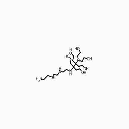 NCCNCCNCCNC(CCO)(CCO)C(CCO)(CCO)N(CCO)CCO